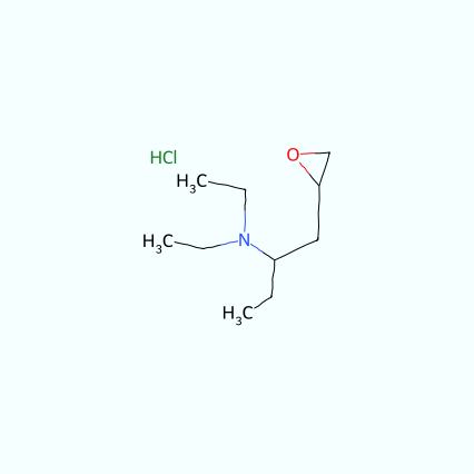 CCC(CC1CO1)N(CC)CC.Cl